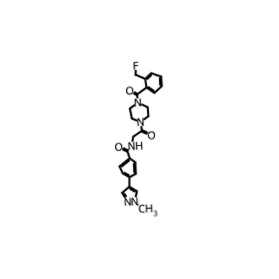 Cn1cc(-c2ccc(C(=O)NCC(=O)N3CCN(C(=O)c4ccccc4CF)CC3)cc2)cn1